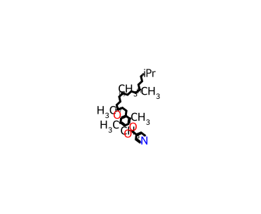 Cc1c(C)c2c(c(C)c1OC(=O)c1ccncc1)CC[C@@](C)(CCC[C@H](C)CCC[C@H](C)CCCC(C)C)O2